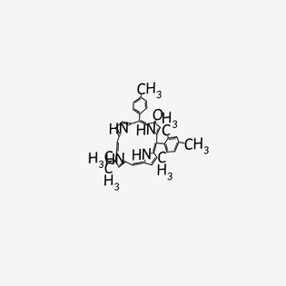 Cc1ccc(C2=C3NC(=CC3=O)C(c3c(C)cc(C)cc3C)=c3ccc([nH]3)=CC3=CC(C)(C)C(=Cc4ccc2[nH]4)N3)cc1